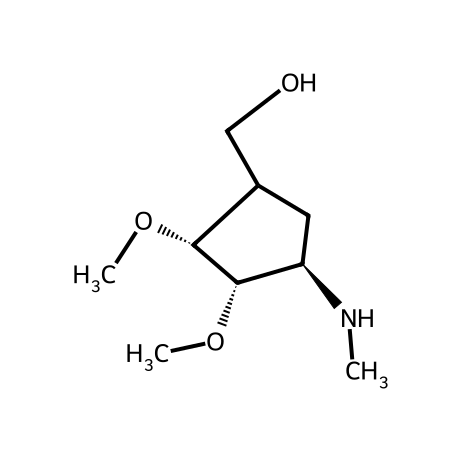 CN[C@@H]1CC(CO)[C@@H](OC)[C@H]1OC